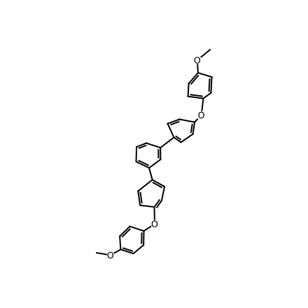 COc1ccc(Oc2ccc(-c3cccc(-c4ccc(Oc5ccc(OC)cc5)cc4)c3)cc2)cc1